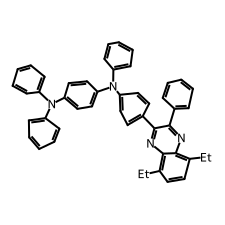 CCc1ccc(CC)c2nc(-c3ccc(N(c4ccccc4)c4ccc(N(c5ccccc5)c5ccccc5)cc4)cc3)c(-c3ccccc3)nc12